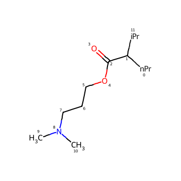 CCCC(C(=O)OCCCN(C)C)C(C)C